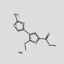 Br.COC(=O)c1cc(-c2csc(N)n2)c(SC)s1